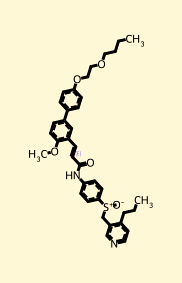 CCCCOCCOc1ccc(-c2ccc(OC)c(/C=C/C(=O)Nc3ccc([S+]([O-])Cc4cnccc4CCC)cc3)c2)cc1